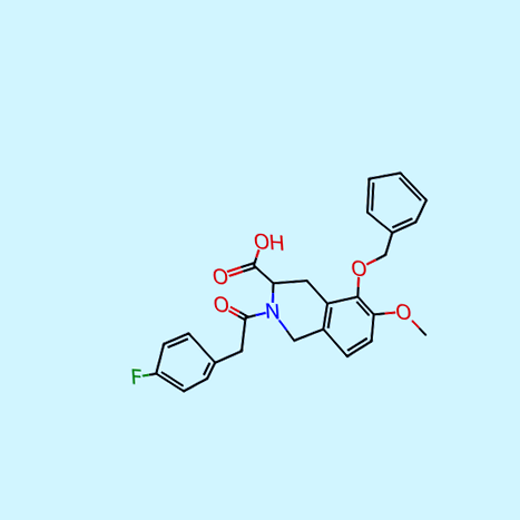 COc1ccc2c(c1OCc1ccccc1)CC(C(=O)O)N(C(=O)Cc1ccc(F)cc1)C2